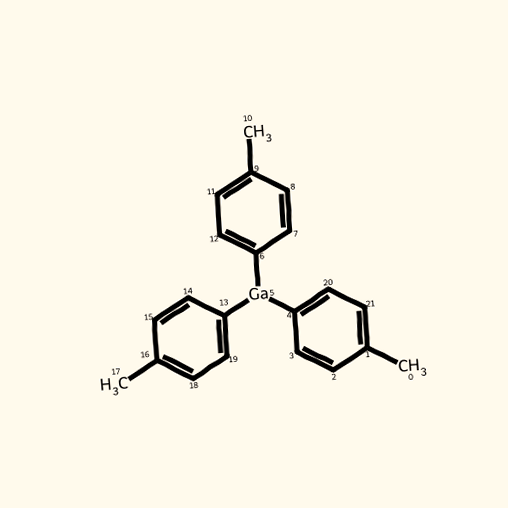 Cc1cc[c]([Ga]([c]2ccc(C)cc2)[c]2ccc(C)cc2)cc1